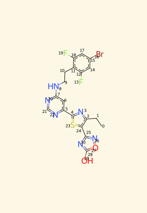 CCc1nc(-c2cc(NCCc3c(F)cc(Br)cc3F)ncn2)sc1-c1noc(O)n1